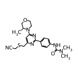 C[C@H]1COCCN1c1cc(CSCC#N)nc(-c2ccc(NC(=O)N(C)C)cc2)n1